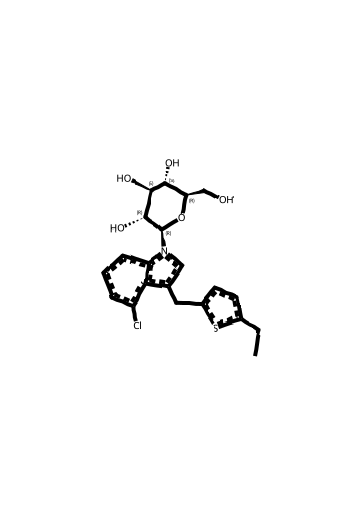 CCc1ccc(Cc2cn([C@@H]3O[C@H](CO)[C@@H](O)[C@H](O)[C@H]3O)c3cccc(Cl)c23)s1